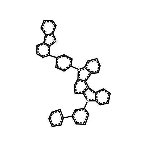 c1ccc(-c2cccc(-n3c4ccccc4c4c5c6ccccc6n(-c6ccc(-c7cccc8c7oc7ccccc78)cc6)c5ccc43)c2)cc1